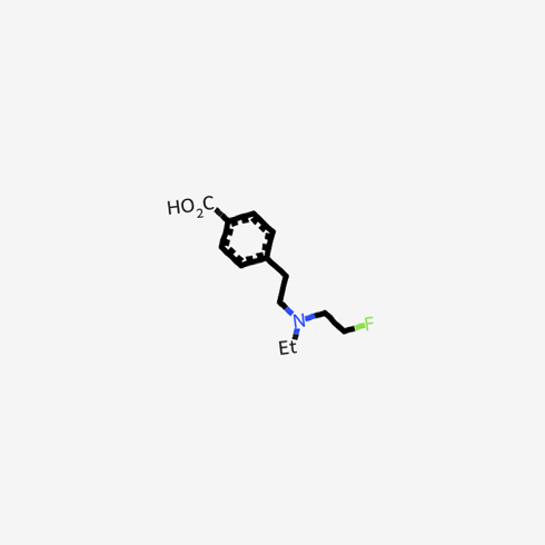 CCN(CCF)CCc1ccc(C(=O)O)cc1